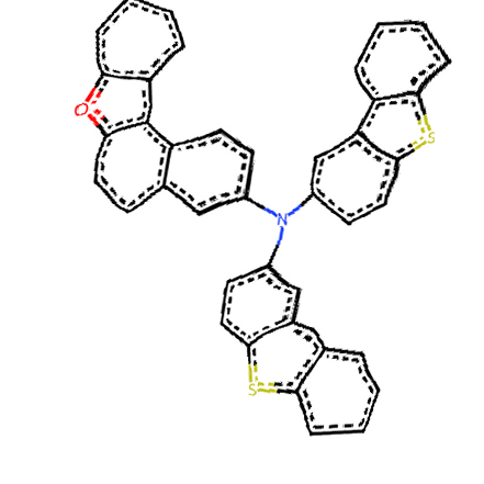 c1ccc2c(c1)oc1ccc3cc(N(c4ccc5sc6ccccc6c5c4)c4ccc5sc6ccccc6c5c4)ccc3c12